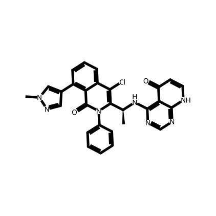 C[C@H](Nc1ncnc2[nH]ccc(=O)c12)c1c(Cl)c2cccc(-c3cnn(C)c3)c2c(=O)n1-c1ccccc1